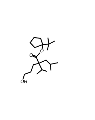 CC(C)CC(CCCO)(C(=O)OC1(C(C)(C)C)CCCC1)C(C)C